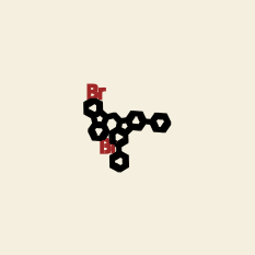 Brc1ccc2c(c1)C(CC1c3ccc(-c4ccccc4)cc3-c3cc(-c4ccccc4)ccc31)c1cc(Br)ccc1-2